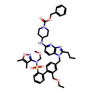 CCCc1nc2nc(NC3CCN(C(=O)OCc4ccccc4)CC3)ccc2n1Cc1ccc(-c2ccccc2S(=O)(=O)N(COC)c2noc(C)c2C)c(COCC)c1